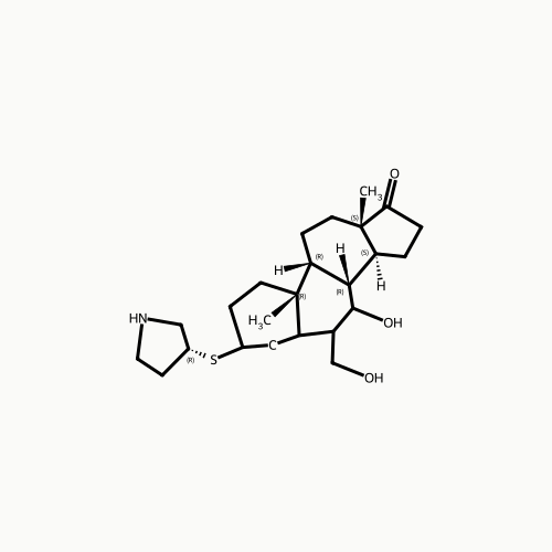 C[C@]12CCC(S[C@@H]3CCNC3)CC1C(CO)C(O)[C@@H]1[C@H]2CC[C@]2(C)C(=O)CC[C@@H]12